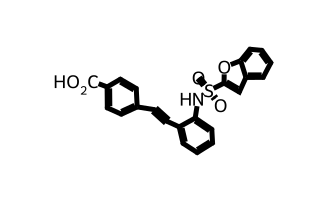 O=C(O)c1ccc(C#Cc2ccccc2NS(=O)(=O)c2cc3ccccc3o2)cc1